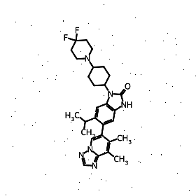 Cc1c(-c2cc3[nH]c(=O)n(C4CCC(N5CCC(F)(F)CC5)CC4)c3cc2C(C)C)cn2ncnc2c1C